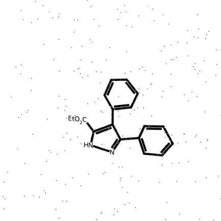 CCOC(=O)c1[nH]nc(-c2ccccc2)c1-c1ccccc1